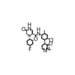 Cc1cc(Cl)c(-c2ccnn(C)c2=O)cc1NC(=O)C1=CNC(=O)C[C@H]1c1ccc(F)cc1